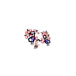 CC(=O)Oc1cc(C[N+]2(C)[C@@H]3CC[C@H]2CC(OC(=O)CCC(=O)OC2C[C@H]4CC[C@@H](C2)[N+]4(C)Cc2cc(OC(C)=O)c(OC(C)=O)c(OC(C)=O)c2)C3)cc(OC(C)=O)c1OC(C)=O.[Br-].[Br-]